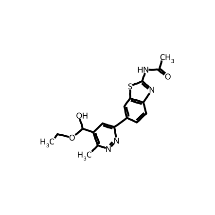 CCOC(O)c1cc(-c2ccc3nc(NC(C)=O)sc3c2)nnc1C